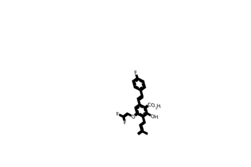 CC(C)=CCc1c(OCC(F)F)cc(C=Cc2ccc(F)cc2)c(C(=O)O)c1O